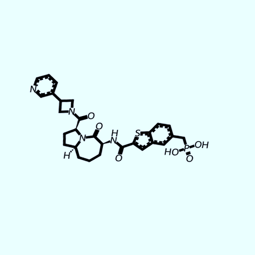 O=C(N[C@H]1CCC[C@H]2CC[C@@H](C(=O)N3CC(c4cccnc4)C3)N2C1=O)c1cc2cc(CP(=O)(O)O)ccc2s1